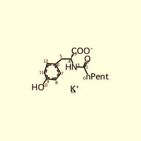 CCCCCC(=O)N[C@@H](Cc1ccc(O)cc1)C(=O)[O-].[K+]